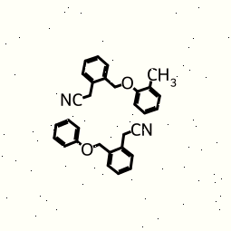 Cc1ccccc1OCc1ccccc1CC#N.N#CCc1ccccc1COc1ccccc1